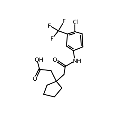 O=C(O)CC1(CC(=O)Nc2ccc(Cl)c(C(F)(F)F)c2)CCCC1